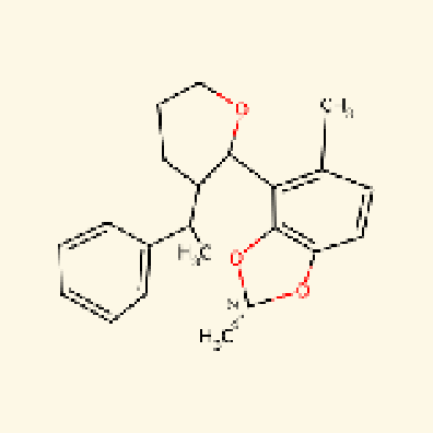 Cc1ccc2c(c1C1OCCCC1C(C)c1ccccc1)O[C@@H](C)O2